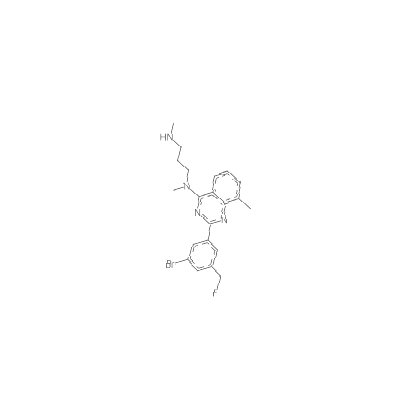 CNCCCN(C)c1nc(-c2cc(Br)cc(CF)c2)nc2c(C)cccc12